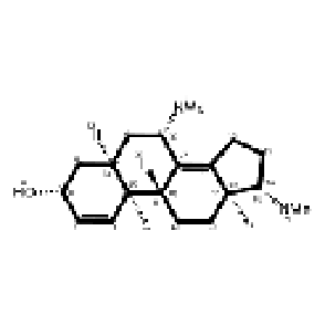 CN[C@H]1C[C@@H]2C[C@@H](O)C=C[C@]2(C)[C@H]2CC[C@@]3(C)C(=C12)CC[C@@H]3NC